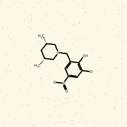 C[C@@H]1C[C@H](C)CN(Cc2cc([N+](=O)[O-])cc(Cl)c2O)C1